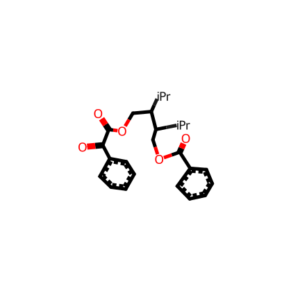 CC(C)C(COC(=O)C(=O)c1ccccc1)C(COC(=O)c1ccccc1)C(C)C